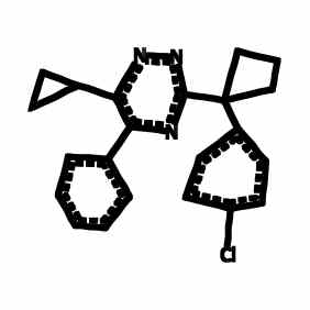 Clc1ccc(C2(c3nnc(C4CC4)c(-c4ccccc4)n3)CCC2)cc1